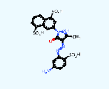 Cc1[nH]n(-c2cc(S(=O)(=O)O)c3cccc(S(=O)(=O)O)c3c2)c(=O)c1N=Nc1cc(N)ccc1S(=O)(=O)O